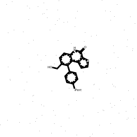 CCCC(C)c1ccc(-c2c(CO)ccc3[nH]c(=O)c4sccc4c23)cc1